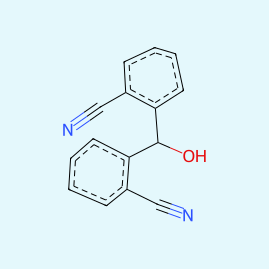 N#Cc1ccccc1C(O)c1ccccc1C#N